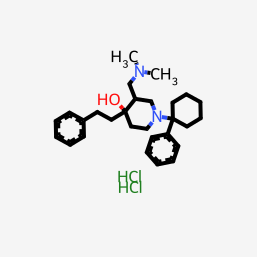 CN(C)CC1CN(C2(c3ccccc3)CCCCC2)CCC1(O)CCc1ccccc1.Cl.Cl